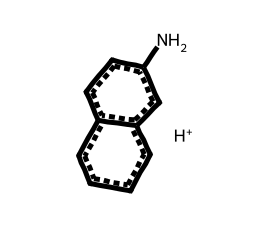 Nc1ccc2ccccc2c1.[H+]